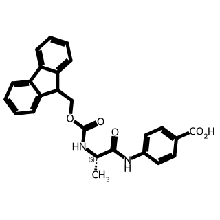 C[C@H](NC(=O)OCC1c2ccccc2-c2ccccc21)C(=O)Nc1ccc(C(=O)O)cc1